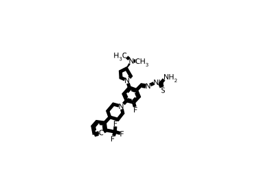 CN(C)[C@@H]1CCN(c2cc(N3CCC(c4ccccc4C(F)(F)F)CC3)c(F)cc2/C=N/NC(N)=S)C1